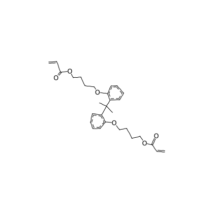 C=CC(=O)OCCCCOc1ccccc1C(C)(C)c1ccccc1OCCCCOC(=O)C=C